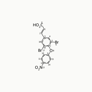 O=C(O)C=Cc1cc(Br)c(Oc2ccc([N+](=O)[O-])cc2)c(Br)c1